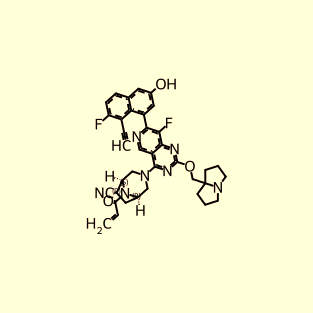 C#Cc1c(F)ccc2cc(O)cc(-c3ncc4c(N5C[C@H]6C[C@@H](C#N)[C@@H](C5)N6C(=O)C=C)nc(OCC56CCCN5CCC6)nc4c3F)c12